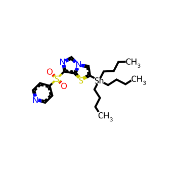 CCC[CH2][Sn]([CH2]CCC)([CH2]CCC)[c]1cn2cnc(S(=O)(=O)c3ccncc3)c2s1